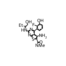 CC[C@H](CO)Nc1nc(-c2cccc(O)c2F)c2c(N)c(C(=O)NC)sc2n1